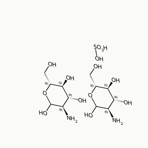 N[C@H]1C(O)O[C@H](CO)[C@@H](O)[C@@H]1O.N[C@H]1C(O)O[C@H](CO)[C@@H](O)[C@@H]1O.O=S(=O)(O)O